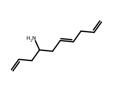 C=CC/C=C/CC(N)CC=C